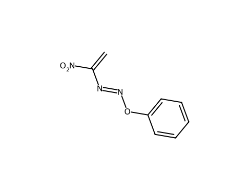 C=C(N=NOc1ccccc1)[N+](=O)[O-]